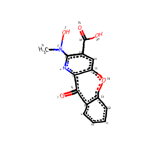 CN(O)c1nc2c(=O)c3ccccc3oc2cc1C(=O)O